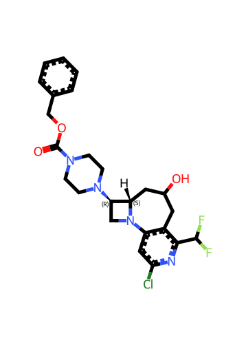 O=C(OCc1ccccc1)N1CCN([C@@H]2CN3c4cc(Cl)nc(C(F)F)c4CC(O)C[C@@H]23)CC1